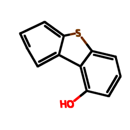 Oc1cccc2sc3ccccc3c12